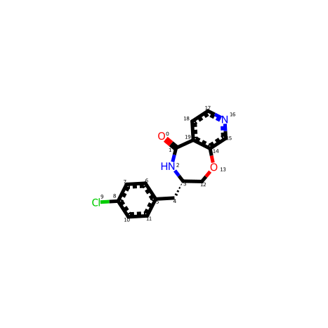 O=C1N[C@@H](Cc2ccc(Cl)cc2)COc2cnccc21